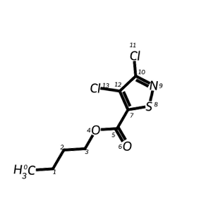 CCCCOC(=O)c1snc(Cl)c1Cl